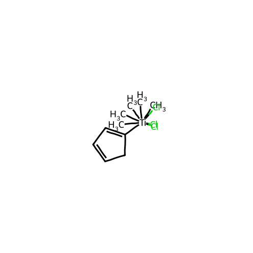 [CH3][Ti]([CH3])([CH3])([CH3])([CH3])([Cl])([Cl])([Cl])[C]1=CC=CC1